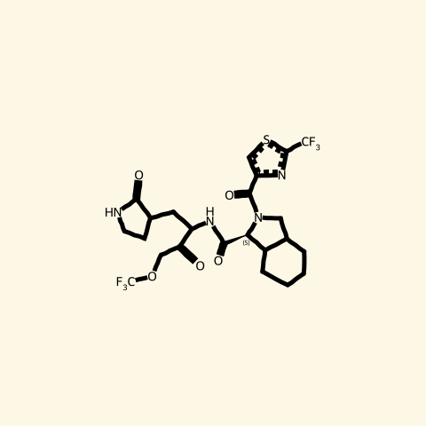 O=C1NCCC1CC(NC(=O)[C@@H]1C2CCCCC2CN1C(=O)c1csc(C(F)(F)F)n1)C(=O)COC(F)(F)F